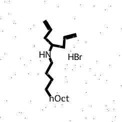 Br.C=CCC(CC=C)NCCCCCCCCCCCC